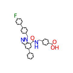 O=C(O)c1ccc(CNC(=O)c2cc(-c3ccccc3)cc3cnn(Cc4ccc(-c5ccc(F)cc5)cc4)c23)cc1